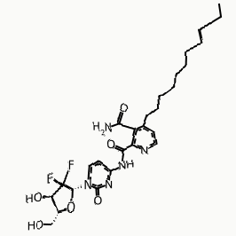 CCCCCCCCCCCc1ccnc(C(=O)Nc2ccn([C@@H]3O[C@H](CO)[C@@H](O)C3(F)F)c(=O)n2)c1C(N)=O